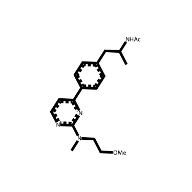 COCCN(C)c1nccc(-c2ccc(CC(C)NC(C)=O)cc2)n1